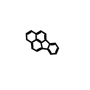 C1=Cc2ccc3c4c(ccc(c24)C1)-c1ccccc1-3